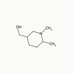 CC1CCC(CO)CN1C